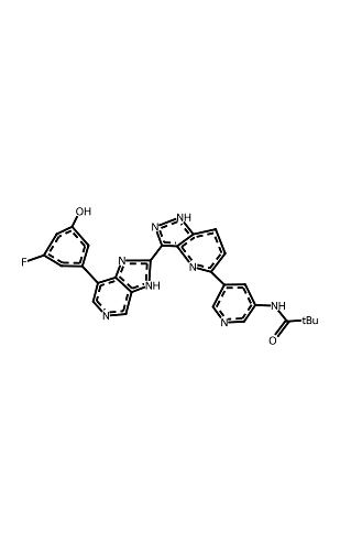 CC(C)(C)C(=O)Nc1cncc(-c2ccc3[nH]nc(-c4nc5c(-c6cc(O)cc(F)c6)cncc5[nH]4)c3n2)c1